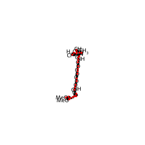 COc1ccc(CC[CH]c2cccc(OCC(=O)NCCOCCOCCOCCOCCOCCOCCOCCNC(=O)C[C@@H]3N=C(c4ccc(Cl)cc4)c4c(sc(C)c4C)-n4c(C)nnc43)c2)cc1OC